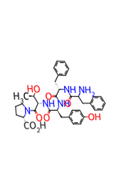 C[C@@H](O)[C@H](NC(=O)[C@H](Cc1ccc(O)cc1)NC(=O)[C@H](Cc1ccccc1)NC(=O)[C@@H](N)Cc1ccccc1)C(=O)N1CCC[C@H]1C(=O)O